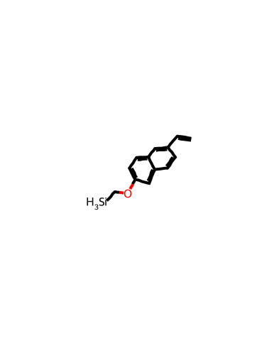 C=Cc1ccc2cc(OC[SiH3])ccc2c1